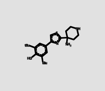 CC(C)(C)c1cc(-c2csc(C3(N)CCNCC3)n2)cc(C(C)(C)C)c1O